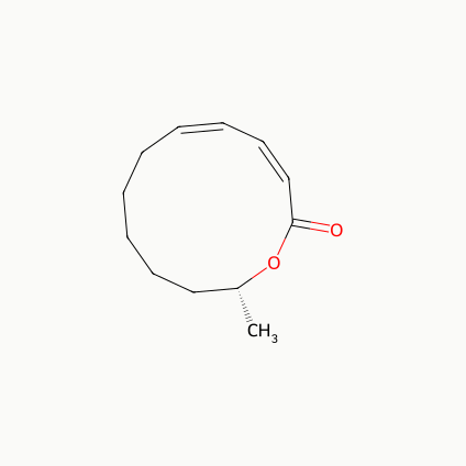 C[C@@H]1CCCCCC=CC=CC(=O)O1